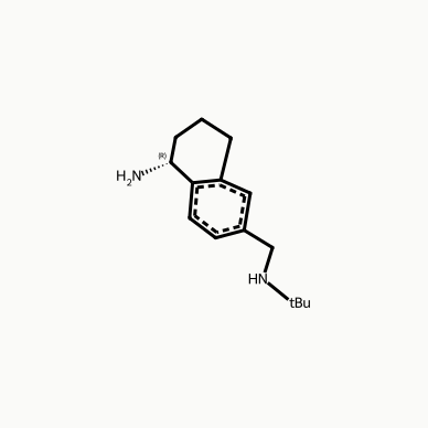 CC(C)(C)NCc1ccc2c(c1)CCC[C@H]2N